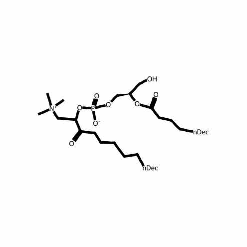 CCCCCCCCCCCCCCCC(=O)C(C[N+](C)(C)C)OP(=O)([O-])OC[C@@H](CO)OC(=O)CCCCCCCCCCCCC